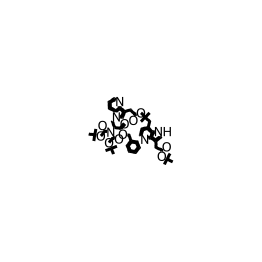 CC(C)(C)OC(=O)Cc1c[nH]c2c(CC(C)(C)OC(=O)Cc3cn(CC(C(=O)OCc4ccccc4)N(C(=O)OC(C)(C)C)C(=O)OC(C)(C)C)c4cccnc34)ccnc12